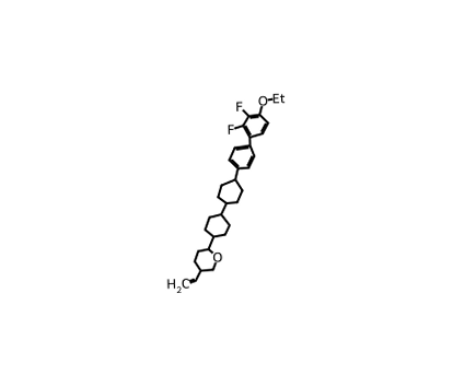 C=CC1CCC(C2CCC(C3CCC(c4ccc(-c5ccc(OCC)c(F)c5F)cc4)CC3)CC2)OC1